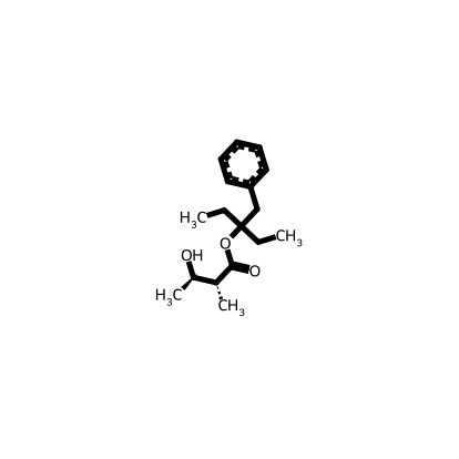 CCC(CC)(Cc1ccccc1)OC(=O)[C@H](C)[C@@H](C)O